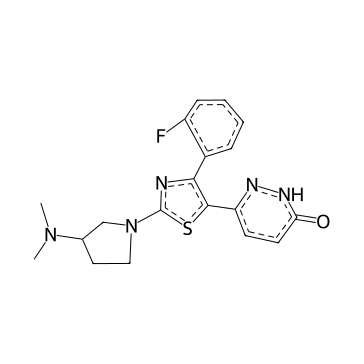 CN(C)C1CCN(c2nc(-c3ccccc3F)c(-c3ccc(=O)[nH]n3)s2)C1